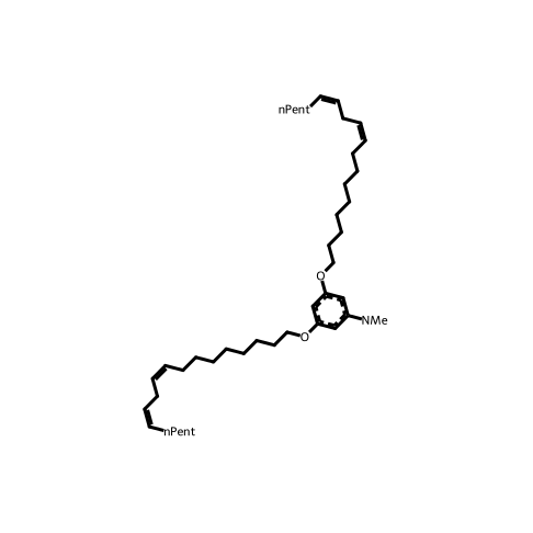 CCCCC/C=C\C/C=C\CCCCCCCCOc1cc(NC)cc(OCCCCCCCC/C=C\C/C=C\CCCCC)c1